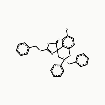 O=C1NC(SCc2ccccc2)=NC12C[C@](Cc1ccccc1)(c1ccccc1)Oc1ccc(Br)cc12